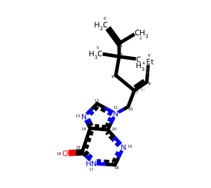 C=C(C)C(C)(C)C/C(=C\CC)Cn1cnc2c(=O)[nH]cnc21